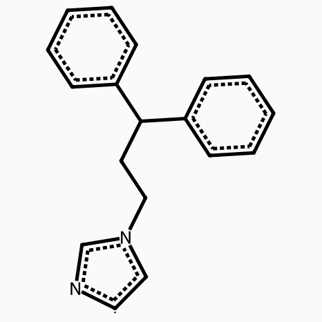 [c]1cn(CCC(c2ccccc2)c2ccccc2)cn1